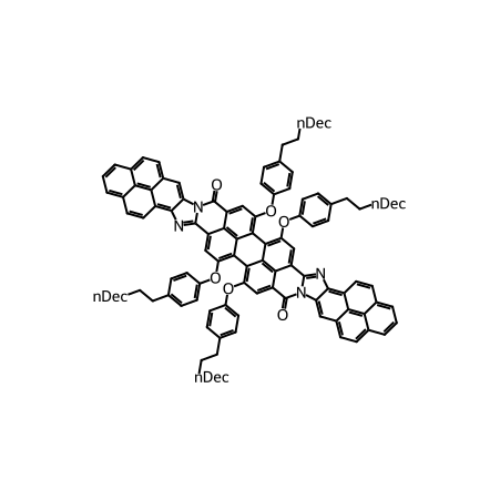 CCCCCCCCCCCCc1ccc(Oc2cc3c(=O)n4c5cc6ccc7cccc8ccc(c5nc4c4cc(Oc5ccc(CCCCCCCCCCCC)cc5)c5c9c(Oc%10ccc(CCCCCCCCCCCC)cc%10)cc%10c(=O)n%11c%12cc%13ccc%14cccc%15ccc(c%12nc%11c%11cc(Oc%12ccc(CCCCCCCCCCCC)cc%12)c(c2c5c34)c9c%10%11)c%13c%14%15)c6c78)cc1